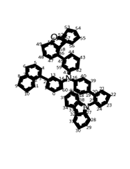 c1cc(-c2cccc3ccccc23)cc(N(c2ccc(-c3ccccc3-n3c4ccccc4c4ccccc43)cc2)c2cccc(-c3cccc4oc5ccccc5c34)c2)c1